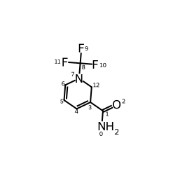 NC(=O)C1=CC=CN(C(F)(F)F)C1